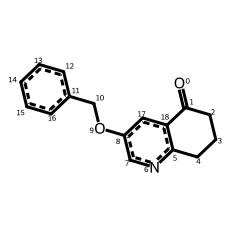 O=C1CCCc2ncc(OCc3ccccc3)cc21